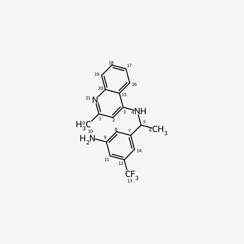 Cc1cc(NC(C)c2cc(N)cc(C(F)(F)F)c2)c2ccccc2n1